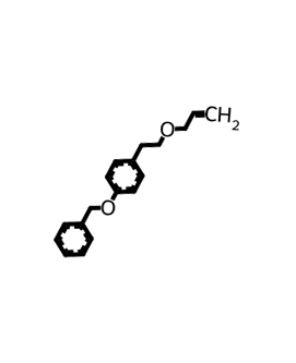 C=CCOCCc1ccc(OCc2ccccc2)cc1